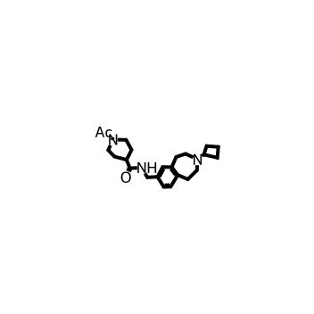 CC(=O)N1CCC(C(=O)NCc2ccc3c(c2)CCN(C2CCC2)CC3)CC1